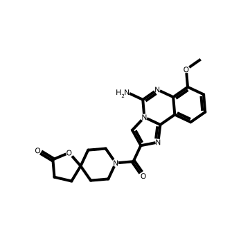 COc1cccc2c1nc(N)n1cc(C(=O)N3CCC4(CCC(=O)O4)CC3)nc21